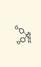 COc1ccc(-c2nc[nH]c2-c2ccc(OC)cc2)cc1